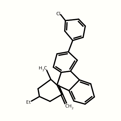 C=C1CC(CC)CC(C)C12c1ccccc1-c1cc(-c3cccc(Cl)c3)ccc12